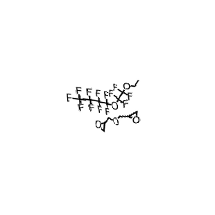 C(OCC1CO1)C1CO1.CCOC(F)(F)C(F)(F)OC(F)(F)C(F)(F)C(F)(F)C(F)(F)F